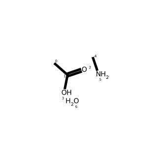 CC(=O)O.CN.O